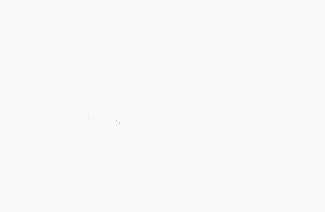 Cc1cc(O)ccc1CN(C)C